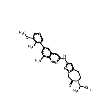 COc1cncc(-c2cc(N)c3nnc(Nc4cc5n(n4)CC(=O)N(C(C)C)CC5)cc3c2)c1C